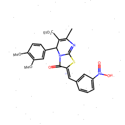 CCOC(=O)C1=C(C)N=c2s/c(=C\c3cccc([N+](=O)O)c3)c(=O)n2C1c1ccc(OC)c(OC)c1